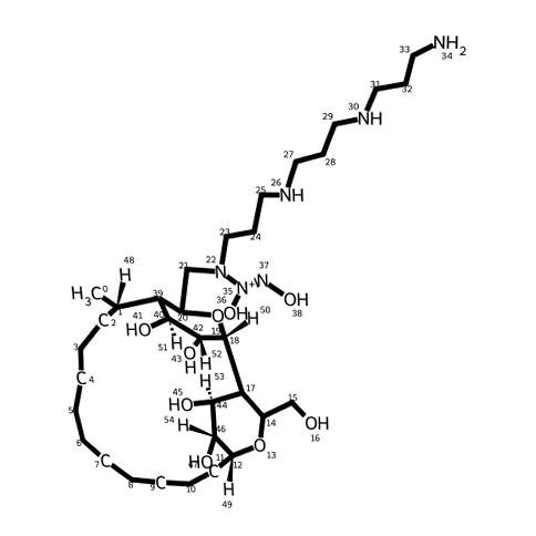 C[C@H]1CCCCCCCCCC[C@H]2OC(CO)C([C@H]3OC(CN(CCCNCCCNCCCN)/[N+](O)=N/O)C1[C@H](O)[C@H]3O)[C@H](O)[C@H]2O